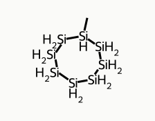 C[SiH]1[SiH2][SiH2][SiH2][SiH2][SiH2][SiH2][SiH2]1